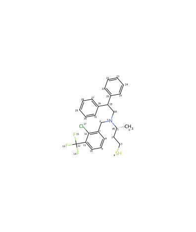 C[C@H](CCS)N(Cc1cccc(C(F)(F)F)c1Cl)CC(c1ccccc1)c1ccccc1